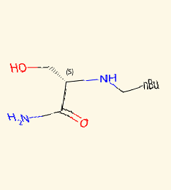 CCCCCN[C@@H](CO)C(N)=O